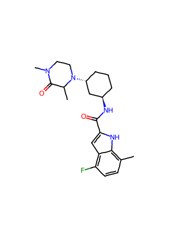 Cc1ccc(F)c2cc(C(=O)N[C@@H]3CCC[C@@H](N4CCN(C)C(=O)C4C)C3)[nH]c12